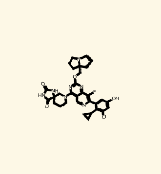 O=C1NC(=O)C2(CCCN(c3nc(OCC45CCCN4CCC5)nc4c(F)c(-c5cc(O)cc(Cl)c5C5CC5)ncc34)C2)N1